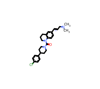 CN(C)C/C=C/c1ccc2c(c1)CCCN2C(=O)N1CCC(c2ccc(Cl)cc2)CC1